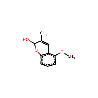 COc1cccc2c1C=C(C)C(O)O2